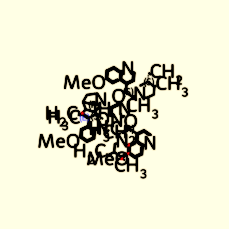 C=CC1CN(C(C)[C@H](Oc2nc(O[C@@H](c3ccnc4ccc(OC)cc34)C(C)N3CCC(C)[C@@H](C=C)C3)cc(O[C@@H](/C(=C/C)c3cc(OC)ccc3N=C)[C@H]3CC4CCN3CCC4C=C)n2)c2ccnc3ccc(OC)cc23)CCC1C